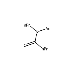 CCCC(=O)N(CCC)C(C)=O